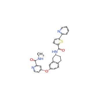 CNC(=O)c1cc(Oc2ccc3c(c2)CC(NC(=O)c2ccc(-c4ccccn4)s2)CC3)ccn1